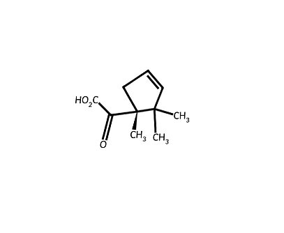 CC1(C)C=CC[C@@]1(C)C(=O)C(=O)O